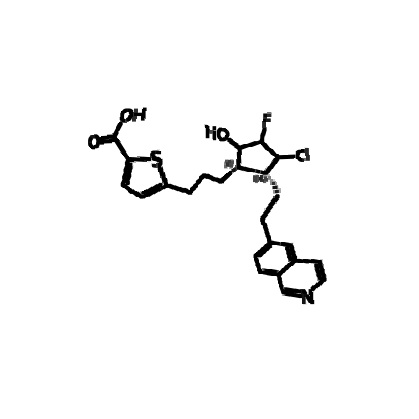 O=C(O)c1ccc(CCC[C@H]2C(O)C(F)C(Cl)[C@@H]2CCc2ccc3cnccc3c2)s1